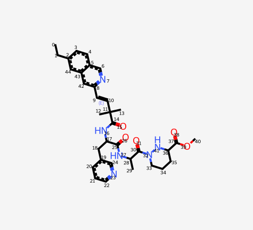 CCc1ccc2cnc(/C=C/C(C)(C)C(=O)NC(Cc3cccnc3)C(=O)NC(C)C(=O)N3CCCC(C(=O)OC)N3)cc2c1